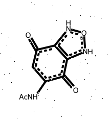 CC(=O)Nc1cc(=O)c2[nH]o[nH]c=2c1=O